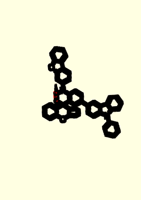 c1ccc(-n2c3ccccc3c3cc(-c4ccc5c(c4)C4(c6ccccc6Oc6ccccc64)c4ccccc4N5c4ccc5c(c4)oc4ccccc45)ccc32)cc1